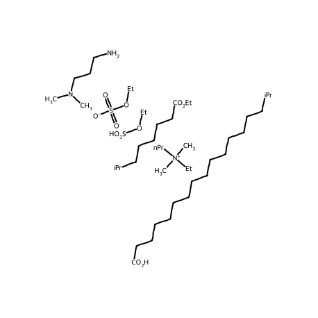 CC(C)CCCCCCCCCCCCCCC(=O)O.CCC[N+](C)(C)CC.CCOC(=O)CCCCCC(C)C.CCOS(=O)(=O)O.CCOS(=O)(=O)[O-].CN(C)CCCN